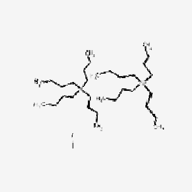 CCCC[N+](CCCC)(CCCC)CCCC.CCCC[N+](CCCC)(CCCC)CCCC.[I-].[I-]